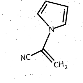 C=C(C#N)n1cccc1